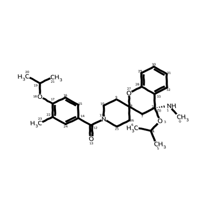 CN[C@]1(OC(C)C)CC2(CCN(C(=O)c3ccc(OC(C)C)c(C)c3)CC2)Oc2ccccc21